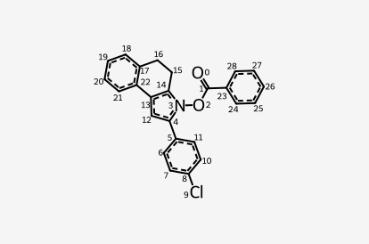 O=C(On1c(-c2ccc(Cl)cc2)cc2c1CCc1ccccc1-2)c1ccccc1